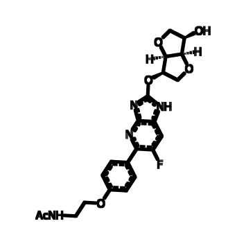 CC(=O)NCCOc1ccc(-c2nc3nc(O[C@@H]4CO[C@H]5[C@@H]4OC[C@H]5O)[nH]c3cc2F)cc1